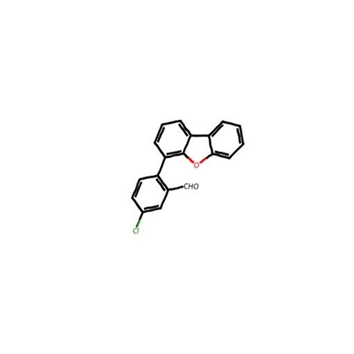 O=Cc1cc(Cl)ccc1-c1cccc2c1oc1ccccc12